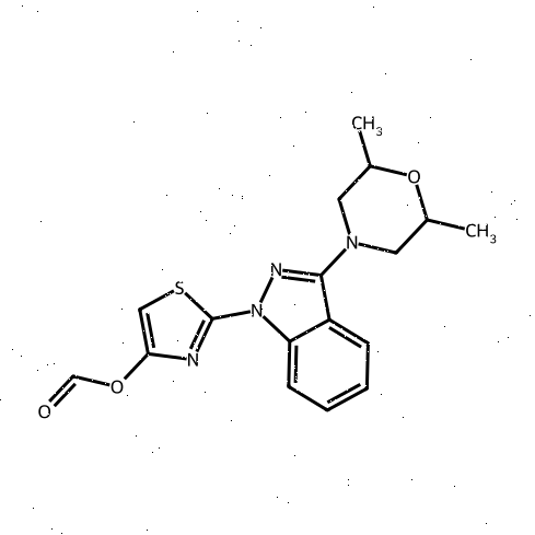 CC1CN(c2nn(-c3nc(OC=O)cs3)c3ccccc23)CC(C)O1